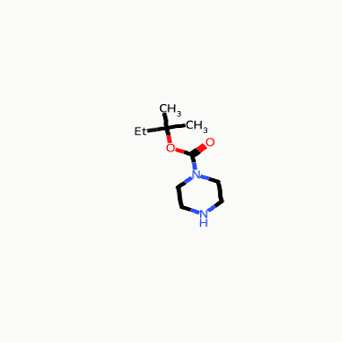 CCC(C)(C)OC(=O)N1CCNCC1